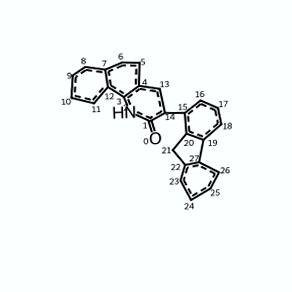 O=c1[nH]c2c(ccc3ccccc32)cc1-c1cccc2c1Cc1ccccc1-2